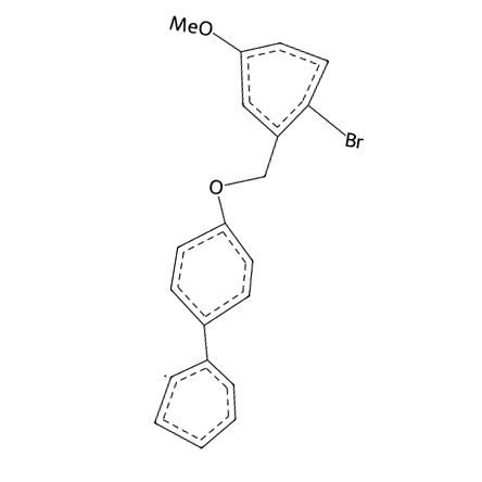 COc1ccc(Br)c(COc2ccc(-c3[c]cccc3)cc2)c1